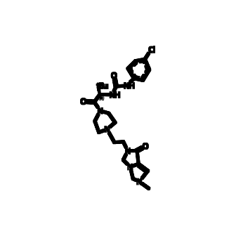 CN1C=C2C(=O)N(CCN3CCN(C(=O)[C@H](NC(=O)Nc4ccc(Cl)cc4)C(C)(C)C)CC3)CN2C1